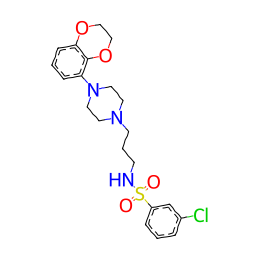 O=S(=O)(NCCCN1CCN(c2cccc3c2OCCO3)CC1)c1cccc(Cl)c1